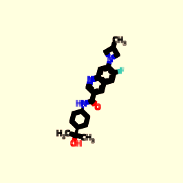 CC1CN(c2cc3ncc(C(=O)N[C@H]4CC[C@H](C(C)(C)O)CC4)cc3cc2F)C1